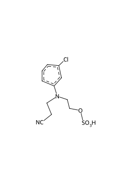 N#CCCN(CCOS(=O)(=O)O)c1cccc(Cl)c1